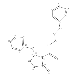 O=C(CCCCc1ccncc1)N1C(=O)OC[C@@H]1Cc1ccccc1